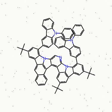 CC(C)(C)c1cc(-c2ccc3c(c2)c2ccccc2n3-c2ccccc2)c2c(c1)c1cc3ccccc3c3c4c5c6cc(C(C)(C)C)cc7c8cc(C(C)(C)C)cc(-c9ccc%10c(c9)c9ccccc9n%10-c9ccccc9)c8n(c5ncc4n2c13)c76